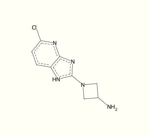 NC1CN(c2nc3nc(Cl)ccc3[nH]2)C1